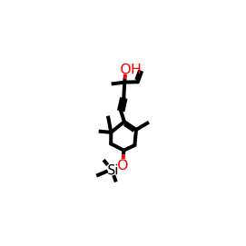 C=CC(C)(O)C#CC1=C(C)CC(O[Si](C)(C)C)CC1(C)C